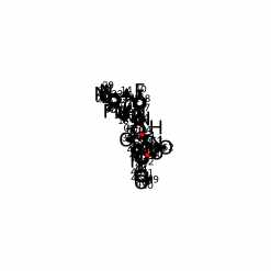 C[C@H]1c2c(nn(-c3ccc(F)c(C4CC4)c3)c2-n2ccn(-c3ccc4c(cnn4C)c3F)c2=O)CCN1C(=O)c1cn2nc([C@H]3CCOC(C)(C)C3)cc(F)c2c1C1(c2noc(=O)[nH]2)CC1